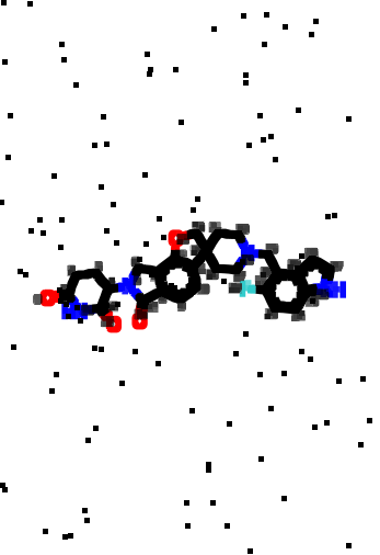 O=C1CCC(N2Cc3c(ccc4c3OCC43CCN(Cc4c(F)ccc5[nH]ccc45)CC3)C2=O)C(=O)N1